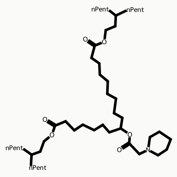 CCCCCC(CCCCC)CCOC(=O)CCCCCCCCC(CCCCCCC(=O)OCCC(CCCCC)CCCCC)OC(=O)CN1CCCCC1